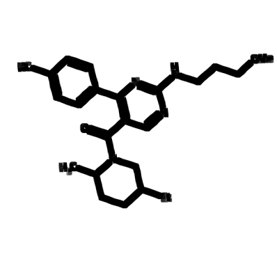 CCC1CCC(C)N(C(=O)c2cnc(NCCCOC)nc2-c2ccc(C#N)cc2)C1